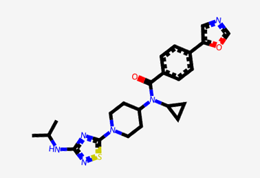 CC(C)Nc1nsc(N2CCC(N(C(=O)c3ccc(-c4cnco4)cc3)C3CC3)CC2)n1